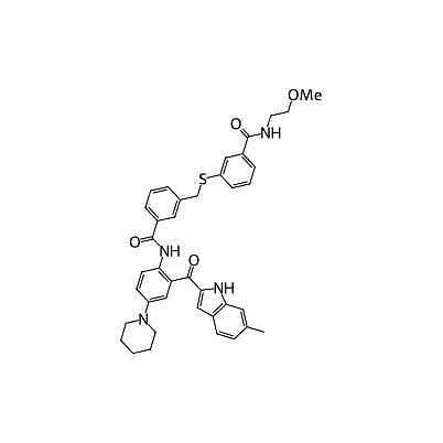 COCCNC(=O)c1cccc(SCc2cccc(C(=O)Nc3ccc(N4CCCCC4)cc3C(=O)c3cc4ccc(C)cc4[nH]3)c2)c1